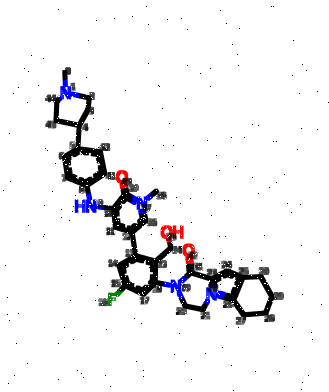 CN1CCC(c2ccc(Nc3cc(-c4cc(F)cc(N5CCn6c(cc7c6CCCC7)C5=O)c4CO)cn(C)c3=O)cc2)CC1